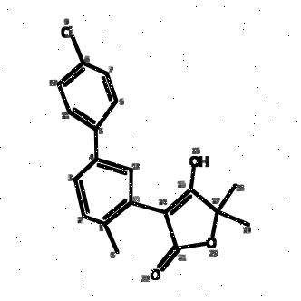 Cc1ccc(-c2ccc(Cl)cc2)cc1C1=C(O)C(C)(C)OC1=O